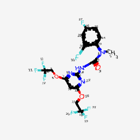 CN(C(=O)Nc1nc(OCC(F)(F)F)cc(OCC(F)(F)F)n1)c1ccc(F)cc1F